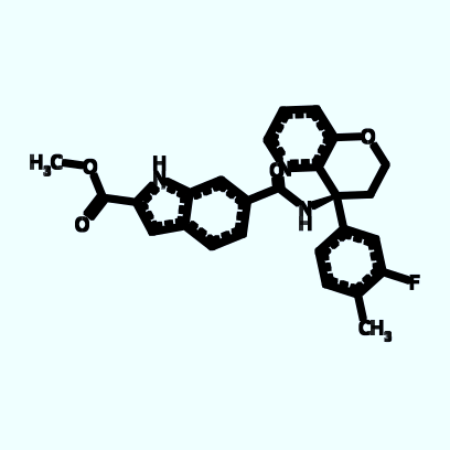 COC(=O)c1cc2ccc(C(=O)N[C@]3(c4ccc(C)c(F)c4)CCOc4cccnc43)cc2[nH]1